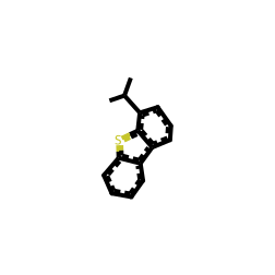 CC(C)c1cccc2c1sc1ccccc12